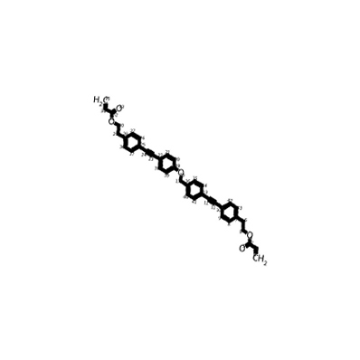 C=CC(=O)OCCc1ccc(C#Cc2ccc(COc3ccc(C#Cc4ccc(CCOC(=O)C=C)cc4)cc3)cc2)cc1